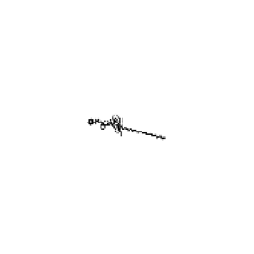 CCCCCCCCCCCCCCCCCCNC(=O)OCC(COC(=O)CCC[n+]1ccccc1)OC(=O)OC.[I-]